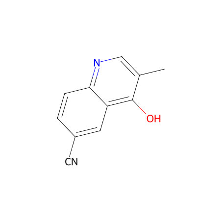 Cc1cnc2ccc(C#N)cc2c1O